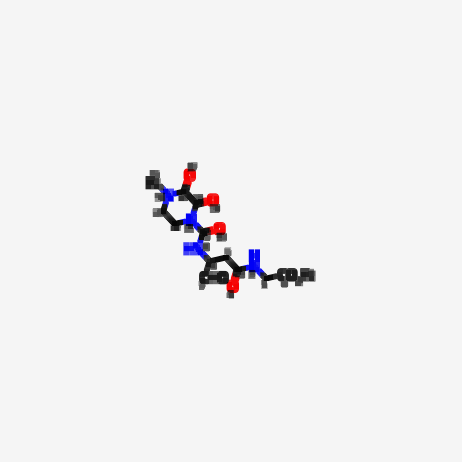 CCOC(=O)CNC(=O)CC(C=O)NC(=O)N1CCN(CC)C(=O)C1=O